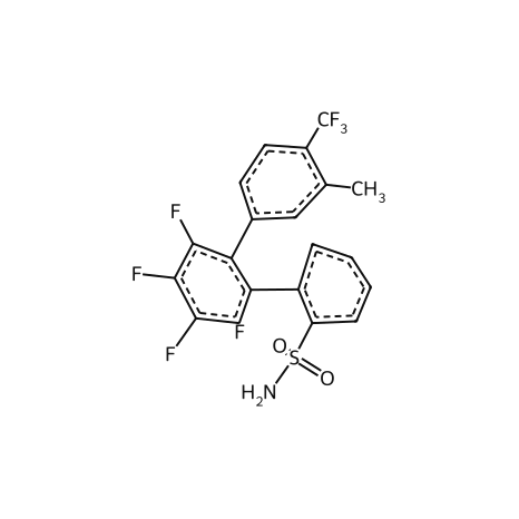 Cc1cc(-c2c(F)c(F)c(F)c(F)c2-c2ccccc2S(N)(=O)=O)ccc1C(F)(F)F